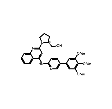 COc1cc(-c2ccc(Nc3nc(N4CCC[C@H]4CO)nc4ccccc34)nc2)cc(OC)c1OC